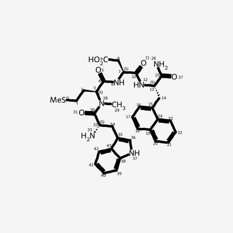 CSCC[C@@H](C(=O)N[C@@H](CC(=O)O)C(=O)N[C@@H](Cc1cccc2ccccc12)C(N)=O)N(C)C(=O)[C@@H](N)Cc1c[nH]c2ccccc12